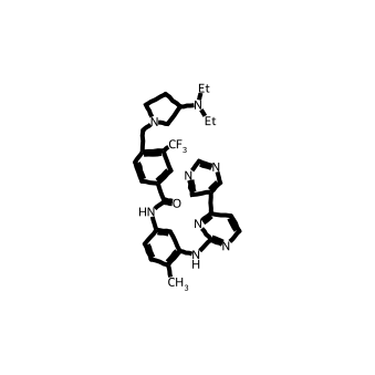 CCN(CC)C1CCN(Cc2ccc(C(=O)Nc3ccc(C)c(Nc4nccc(-c5cncnc5)n4)c3)cc2C(F)(F)F)C1